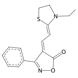 CCN1CCS/C1=C\C=C1/C(=O)ON=C1c1ccccc1